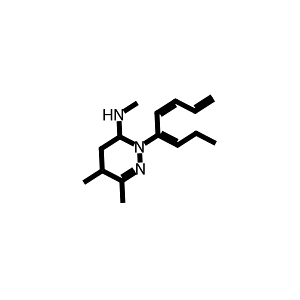 C=C/C=C\C(=C/CC)N1N=C(C)C(C)CC1NC